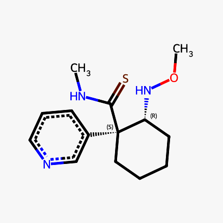 CNC(=S)[C@]1(c2cccnc2)CCCC[C@H]1NOC